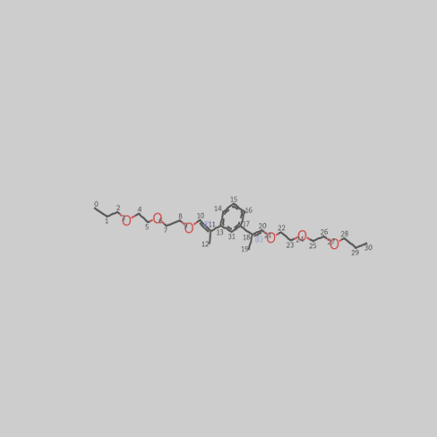 CCCOCCOCCO/C=C(\C)c1cccc(/C(C)=C/OCCOCCOCCC)c1